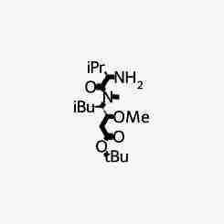 CC[C@H](C)[C@@H](C(CC(=O)OC(C)(C)C)OC)N(C)C(=O)[C@@H](N)C(C)C